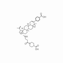 C=C(C)[C@@H]1CC[C@]2(CNCCC(=O)N3CCC(C(=O)O)CC3)CC[C@]3(C)[C@H](CC[C@@H]4[C@@]5(C)CC=C(c6ccc(C(=O)O)cc6)C(C)(C)[C@@H]5CC[C@]43C)[C@@H]12